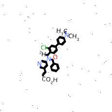 [2H]C(c1ccc(-c2ccc(N(C)C)cc2)cc1Cl)N(C(=O)c1ccccc1)c1cncc(/C=C/C(=O)O)c1